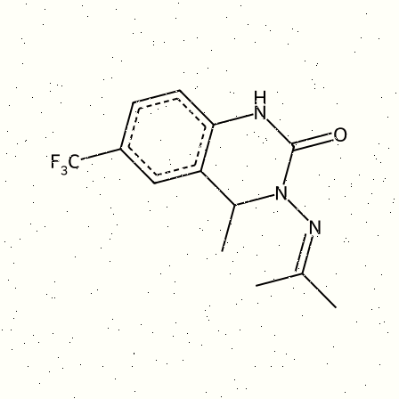 CC(C)=NN1C(=O)Nc2ccc(C(F)(F)F)cc2C1C